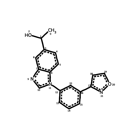 CC(O)c1ccc2c(c1)ncn2-c1cccc(-c2ccon2)c1